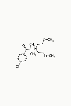 COCCN(CCOC)C(C)(C)C(=O)c1ccc(Cl)cc1